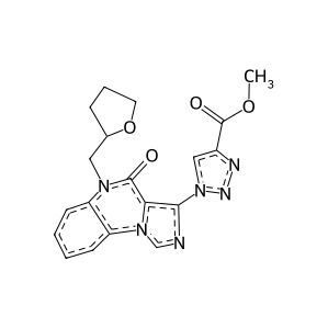 COC(=O)c1cn(-c2ncn3c2c(=O)n(CC2CCCO2)c2ccccc23)nn1